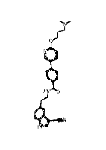 CN(C)CCCOc1ccc(-c2ccc(C(=O)NCCc3ccc4[nH]cc(C#N)c4c3)cc2)cn1